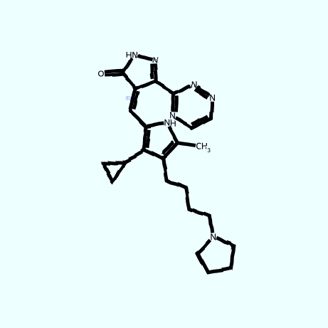 Cc1[nH]c(/C=C2/C(=O)NN=C2c2nccnn2)c(C2CC2)c1CCCCN1CCCC1